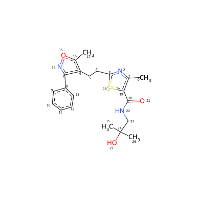 Cc1nc(CCc2c(-c3ccccc3)noc2C)sc1C(=O)NCC(C)(C)O